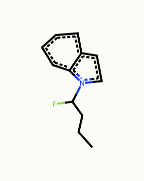 CCCC(F)n1ccc2ccccc21